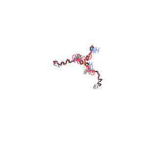 CC/C=C\C/C=C\C/C=C\C/C=C\C/C=C\C/C=C\CCC(=O)N[C@H](C(=O)Oc1ccc(-c2sc3cc(OC(=O)[C@@H](NC(=O)CC/C=C\C/C=C\C/C=C\C/C=C\C/C=C\C/C=C\CC)C(C)C)ccc3c2C(=O)c2ccc(OCCC3CCCCN3)cc2)cc1)C(C)C